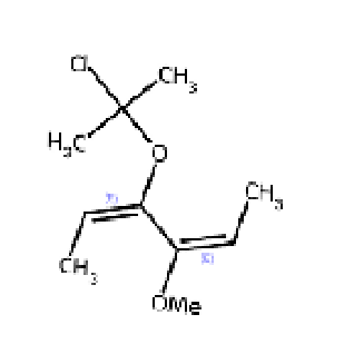 C/C=C(OC)\C(=C/C)OC(C)(C)Cl